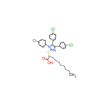 CCCCCCCCC(Sc1nc(-c2ccc(Cl)cc2)c(-c2ccc(Cl)cc2)n1-c1ccc(Cl)cc1)C(=O)O